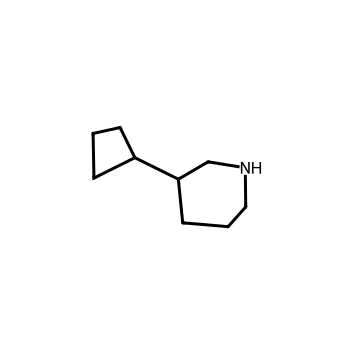 C1CC(C2CCCNC2)C1